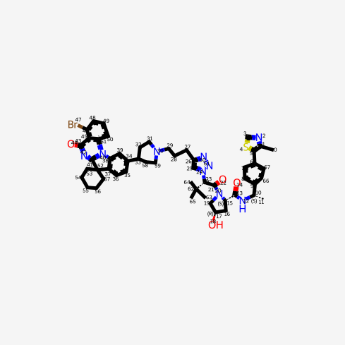 Cc1ncsc1-c1ccc([C@H](C)NC(=O)[C@@H]2C[C@@H](O)CN2C(=O)[C@@H](n2cc(CCCN3CCC(c4ccc5c(c4)-n4c(nc(=O)c6c(Br)cccc64)C54CCCCC4)CC3)nn2)C(C)(C)C)cc1